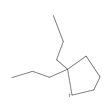 CCCC1(CCC)[C]CCC1